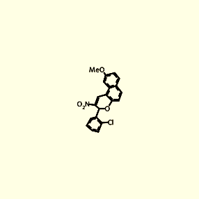 COc1ccc2ccc3c(c2c1)C=C([N+](=O)[O-])C(c1ccccc1Cl)O3